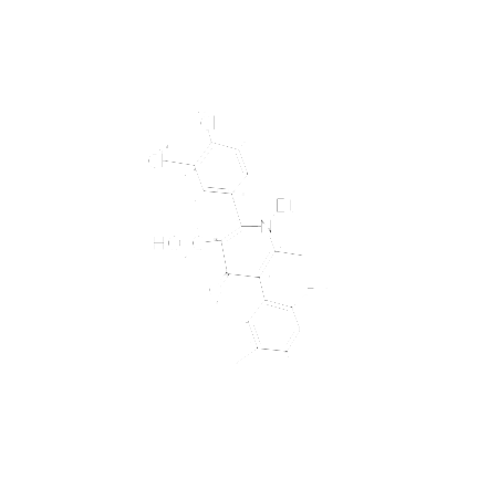 CCn1c(C)c(-c2cc(C)ccc2F)c(=O)c(C(=O)O)c1-c1ccc(Cl)c(Cl)c1